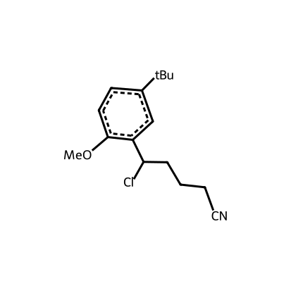 COc1ccc(C(C)(C)C)cc1C(Cl)CCCC#N